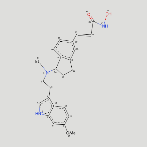 CCN(CCc1c[nH]c2cc(OC)ccc12)C1CCc2cc(C=CC(=O)NO)ccc21